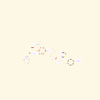 CC[C@H](C)C([C@@H](CC(=O)N1CCC[C@H]1[C@H](OC)[C@@H](C)C(=O)N[C@@H](Cc1ccc(N)cc1)c1nccs1)OC)N(C)C(=O)[C@@H](NC(=O)[C@@H]1C2CCC([C@H]2C)N1C)C(C)C